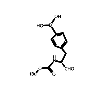 CC(C)(C)OC(=O)N[C@H](C=O)Cc1ccc(B(O)O)cc1